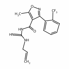 C=CCNC(=N)NC(=O)c1c(-c2ccccc2C(F)(F)F)noc1C